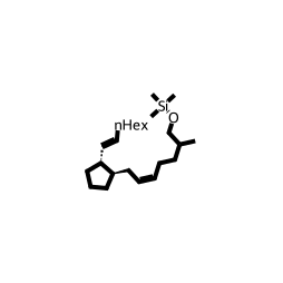 CCCCCC/C=C/[C@H]1CCC[C@@H]1C/C=C\CCC(C)CO[Si](C)(C)C